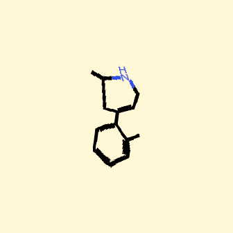 Cc1ccccc1C1=CCNC(C)C1